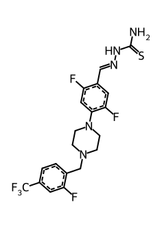 NC(=S)NN=Cc1cc(F)c(N2CCN(Cc3ccc(C(F)(F)F)cc3F)CC2)cc1F